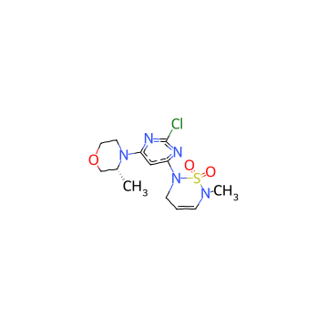 C[C@@H]1COCCN1c1cc(N2CC=CN(C)S2(=O)=O)nc(Cl)n1